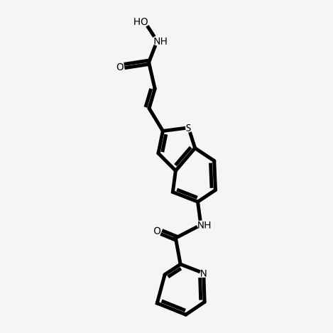 O=C(/C=C/c1cc2cc(NC(=O)c3ccccn3)ccc2s1)NO